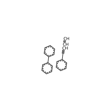 C#C.C#Cc1ccccc1.c1ccc(-c2ccccc2)cc1